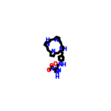 O=C(Nc1ccc(CC23C=C4C=CC(=N4)C=c4ccc([nH]4)=CC4=NC(=CC(=CC2)N3)C=C4)cc1)c1n[nH]cc1[N+](=O)[O-]